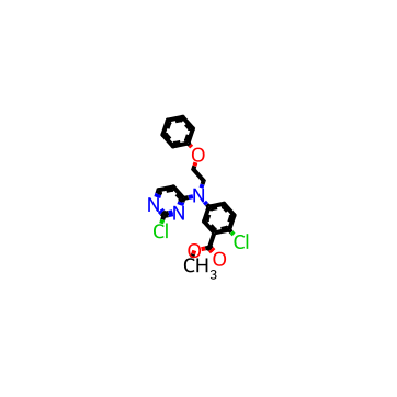 COC(=O)c1cc(N(CCOc2ccccc2)c2ccnc(Cl)n2)ccc1Cl